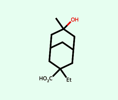 CCC1(C(=O)O)CC2CC(CC(C)(O)C2)C1